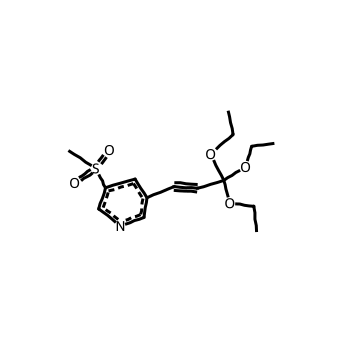 CCOC(C#Cc1cncc(S(C)(=O)=O)c1)(OCC)OCC